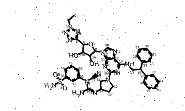 CCn1nnc(C2OC(n3cnc4c(NCC(c5ccccc5)c5ccccc5)nc(N5CCC(N=C(N)N(C#N)c6cccc(S(N)(=O)=O)c6)C5)nc43)C(O)C2O)n1